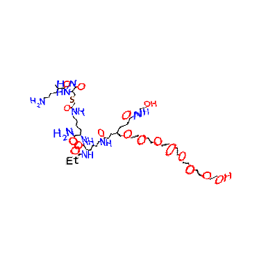 CCC(=O)NC(CCCCNC(=O)CCC(CCC(=O)NCCO)COCCOCCOCCOCCOCCOCCOCCO)C(=O)NC(CCCCNC(=O)CSCC(NC(=O)C(C)CCCCN)C(N)=O)C(N)=O